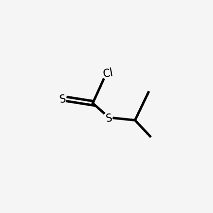 CC(C)SC(=S)Cl